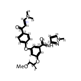 COC[C@H](C)Oc1cc(Oc2ccc(C(=O)/C=C/N(C)C)cc2)cc(C(=O)Nc2ccn(C)n2)c1